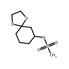 CS(=O)(=O)OC1CCCC2(C1)OCCO2